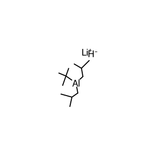 CC(C)[CH2][Al]([CH2]C(C)C)[C](C)(C)C.[H-].[Li+]